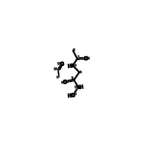 CC(=O)NCC(=O)NO.CC=O